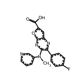 CN(c1cccnc1)c1nc2oc(C(=O)O)cc2nc1-c1ccc(F)cc1